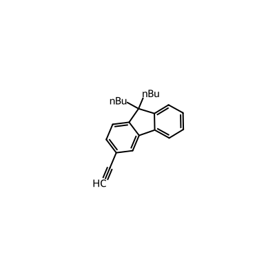 C#Cc1ccc2c(c1)-c1ccccc1C2(CCCC)CCCC